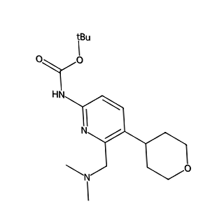 CN(C)Cc1nc(NC(=O)OC(C)(C)C)ccc1C1CCOCC1